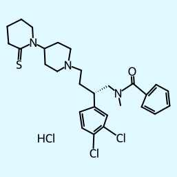 CN(C[C@@H](CCN1CCC(N2CCCCC2=S)CC1)c1ccc(Cl)c(Cl)c1)C(=O)c1ccccc1.Cl